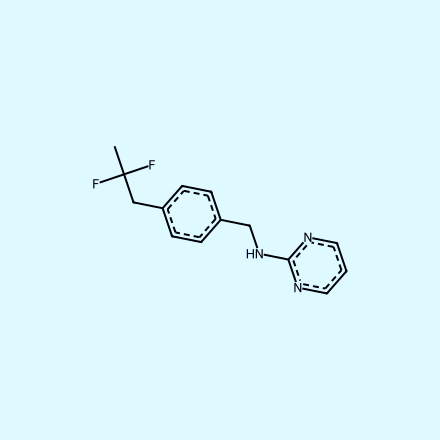 CC(F)(F)Cc1ccc(CNc2ncccn2)cc1